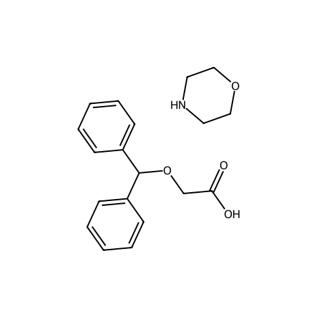 C1COCCN1.O=C(O)COC(c1ccccc1)c1ccccc1